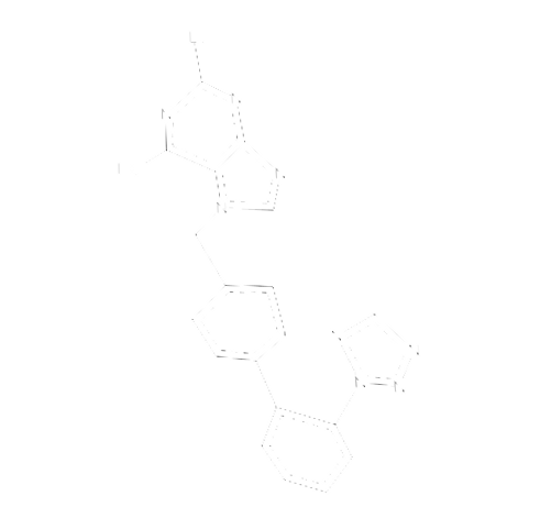 CCc1nc(O)c2c(ncn2Cc2ccc(-c3ccccc3-n3ncnn3)cc2)n1